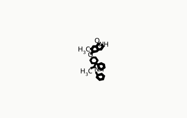 CCC(NCc1ccccc1)C1(c2ccccc2)CCC(Oc2cc3cc[nH]c(=O)c3cc2C)CC1